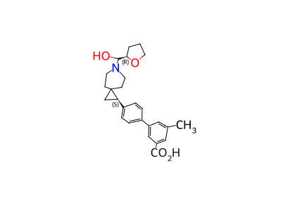 Cc1cc(C(=O)O)cc(-c2ccc([C@H]3CC34CCN(C(O)[C@H]3CCCO3)CC4)cc2)c1